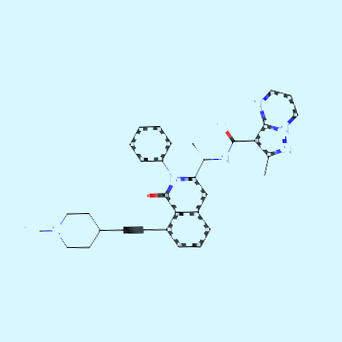 CC(=O)N1CCC(C#Cc2cccc3cc([C@@H](C)NC(=O)c4c(C)nn5cccnc45)n(-c4ccccc4)c(=O)c23)CC1